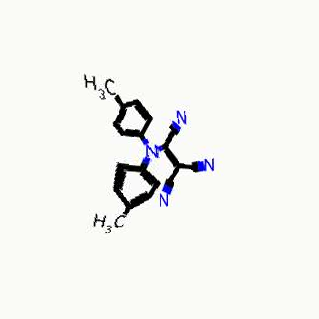 Cc1ccc(N(C(C#N)=C(C#N)C#N)c2ccc(C)cc2)cc1